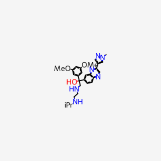 COc1cc(OC)cc(C(O)(CNCCNC(C)C)c2ccc3ncc(-c4cnn(C)c4)nc3c2)c1